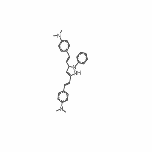 CN(C)c1ccc(C=CC2=CC(C=Cc3ccc(N(C)C)cc3)N(c3ccccc3)N2)cc1